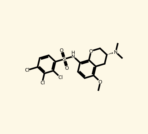 COc1ccc(NS(=O)(=O)c2ccc(Cl)c(Cl)c2Cl)c2c1C[C@@H](N(C)C)CO2